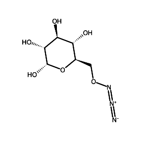 [N-]=[N+]=NOC[C@H]1O[C@H](O)[C@H](O)[C@@H](O)[C@@H]1O